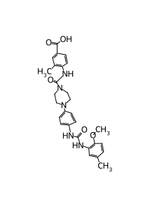 COc1ccc(C)cc1NC(=O)Nc1ccc(N2CCN(C(=O)Nc3ccc(C(=O)O)cc3C)CC2)cc1